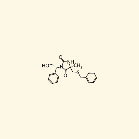 C[C@@]1(CSCc2ccccc2)NC(=O)N([C@@H](CO)c2ccccc2)C1=O